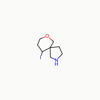 IC1CCOCC12CCNC2